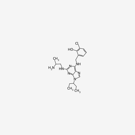 CCC(CC)n1cnc2c(NCc3cccc(Cl)c3O)nc(NCC(C)N)nc21